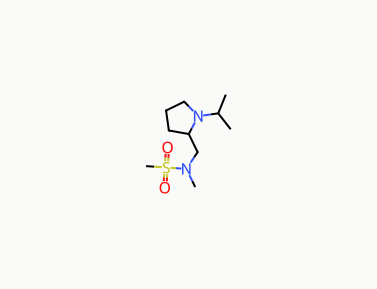 CC(C)N1CCCC1CN(C)S(C)(=O)=O